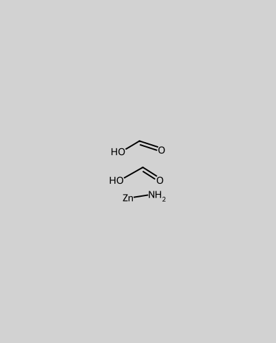 O=CO.O=CO.[NH2][Zn]